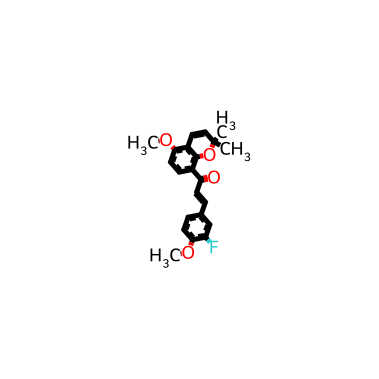 COc1ccc(/C=C/C(=O)c2ccc(OC)c3c2OC(C)(C)C=C3)cc1F